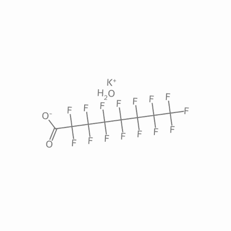 O.O=C([O-])C(F)(F)C(F)(F)C(F)(F)C(F)(F)C(F)(F)C(F)(F)C(F)(F)F.[K+]